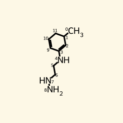 CC1C=C(NCCNN)C=CC1